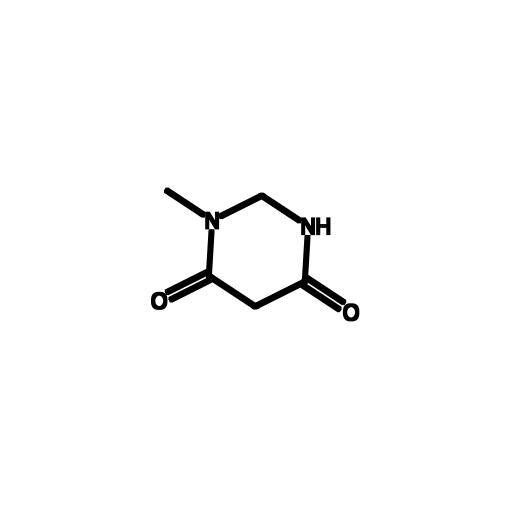 CN1CNC(=O)CC1=O